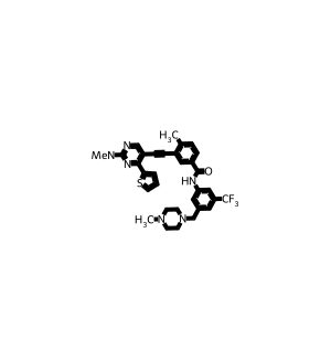 CNc1ncc(C#Cc2cc(C(=O)Nc3cc(CN4CCN(C)CC4)cc(C(F)(F)F)c3)ccc2C)c(-c2cccs2)n1